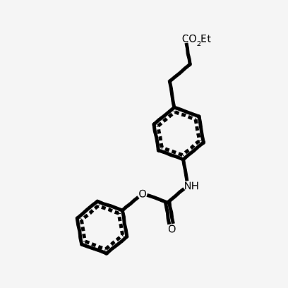 CCOC(=O)CCc1ccc(NC(=O)Oc2ccccc2)cc1